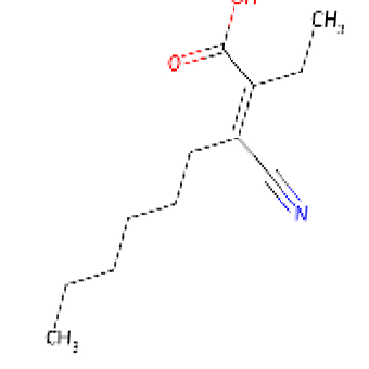 CCCCCC/C(C#N)=C(/CC)C(=O)O